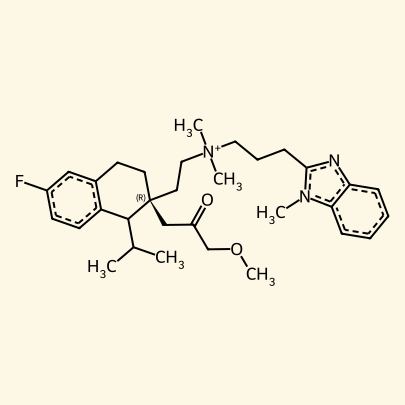 COCC(=O)C[C@]1(CC[N+](C)(C)CCCc2nc3ccccc3n2C)CCc2cc(F)ccc2C1C(C)C